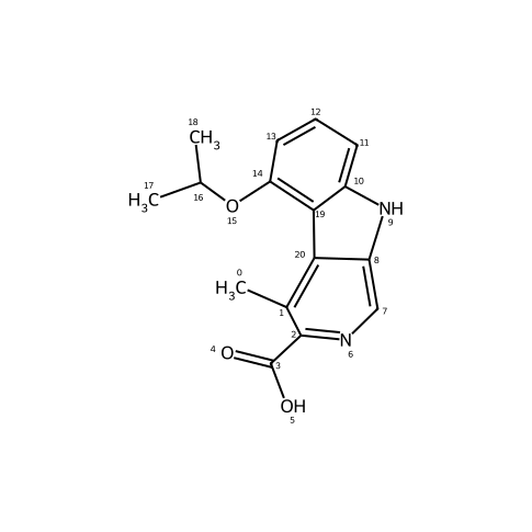 Cc1c(C(=O)O)ncc2[nH]c3cccc(OC(C)C)c3c12